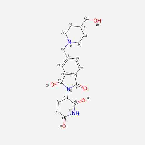 O=C1CCC(N2C(=O)c3ccc(CN4CCC(CO)CC4)cc3C2=O)C(=O)N1